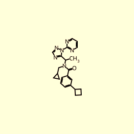 CC(c1ncnn1-c1ncccn1)N(CC1CC1)C(=O)c1cccc(C2CCC2)c1